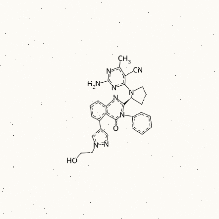 Cc1nc(N)nc(N2CCC[C@H]2c2nc3cccc(-c4cnn(CCO)c4)c3c(=O)n2-c2ccccc2)c1C#N